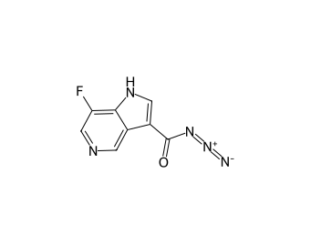 [N-]=[N+]=NC(=O)c1c[nH]c2c(F)cncc12